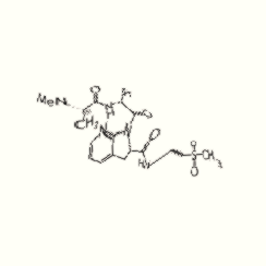 CN[C@@H](C)C(=O)NC(C(=O)N1c2ncccc2CC1C(=O)NCCS(C)(=O)=O)C(C)C